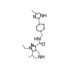 CCn1nc(C(=O)NCc2ccc(-c3nc(C)c[nH]3)cc2)c2c1C(C)CNC2